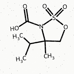 CC(C)C1(C)COS(=O)(=O)N1C(=O)O